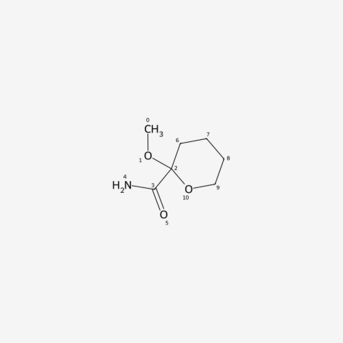 COC1(C(N)=O)CCCCO1